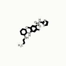 CCCN[C@H]1CCCC[C@@H]1Nc1cc(F)c(S(=O)(=O)Nc2nccs2)cc1Cl